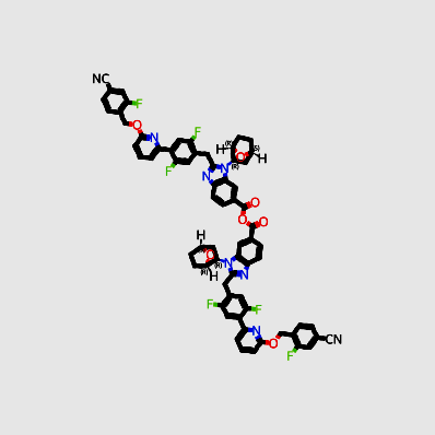 N#Cc1ccc(COc2cccc(-c3cc(F)c(Cc4nc5ccc(C(=O)OC(=O)c6ccc7nc(Cc8cc(F)c(-c9cccc(OCc%10ccc(C#N)cc%10F)n9)cc8F)n([C@@H]8C[C@@H]9CC[C@H]8O9)c7c6)cc5n4[C@@H]4C[C@@H]5CC[C@H]4O5)cc3F)n2)c(F)c1